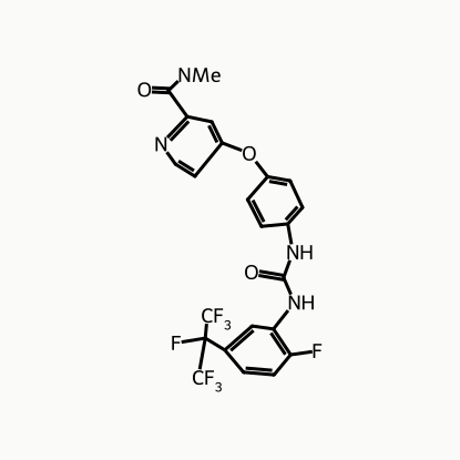 CNC(=O)c1cc(Oc2ccc(NC(=O)Nc3cc(C(F)(C(F)(F)F)C(F)(F)F)ccc3F)cc2)ccn1